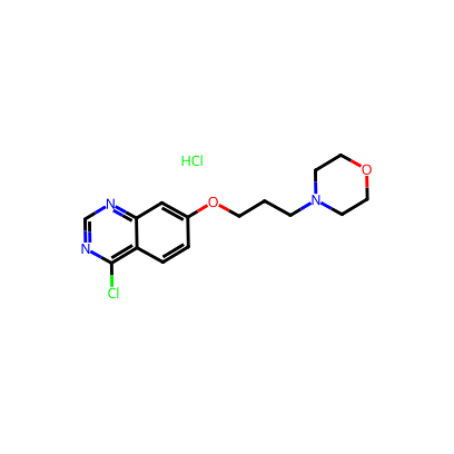 Cl.Clc1ncnc2cc(OCCCN3CCOCC3)ccc12